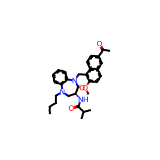 CCCCN1C[C@H](NC(=O)C(C)C)C(=O)N(Cc2c(OC)ccc3cc(C(C)=O)ccc23)c2ccccc21